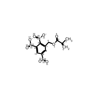 C=C(C)C(=O)OCc1cc([N+](=O)[O-])cc([N+](=O)[O-])c1[N+](=O)[O-]